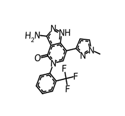 Cn1ccc(-c2cn(-c3ccccc3C(F)(F)F)c(=O)c3c(N)n[nH]c23)n1